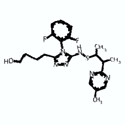 Cc1cnc(C(C)C(C)SNc2nnc(CCCCO)n2-c2c(F)cccc2F)nc1